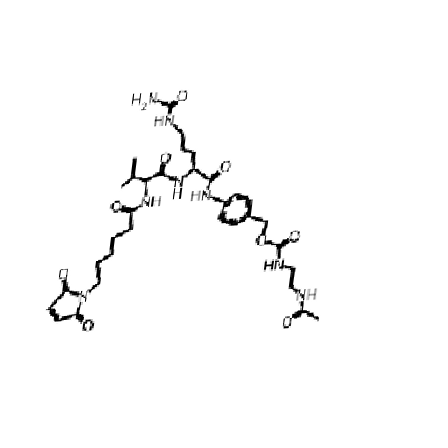 CC(=O)NCCNC(=O)OCc1ccc(NC(=O)C(CCCNC(N)=O)NC(=O)C(NC(=O)CCCCCN2C(=O)C=CC2=O)C(C)C)cc1